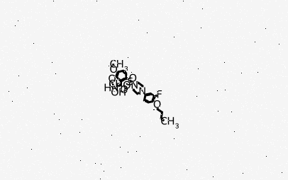 CCCCOc1ccc(N2CCN(S(=O)(=O)c3ccc(OC)c(OC)c3C(=O)NO)CC2)cc1F